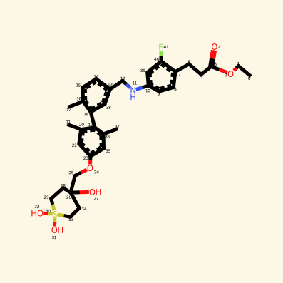 CCOC(=O)CCc1ccc(NCc2ccc(C)c(-c3c(C)cc(OCC4(O)CCS(O)(O)CC4)cc3C)c2)cc1F